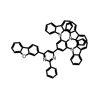 c1ccc(-c2nc(-c3cc(-n4c5ccccc5c5ccccc54)c(-n4c5ccccc5c5ccccc54)c(-n4c5ccccc5c5ccccc54)c3)cc(-c3ccc4c(c3)oc3ccccc34)n2)cc1